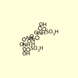 O=C(Nc1cccc(C(=O)Nc2ccc(O)c3ccc(S(=O)(=O)O)cc23)c1)C(=O)Nc1cccc(C(=O)Nc2ccc(O)c3ccc(S(=O)(=O)O)cc23)c1